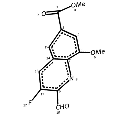 COC(=O)c1cc(OC)c2nc(C=O)c(F)cc2c1